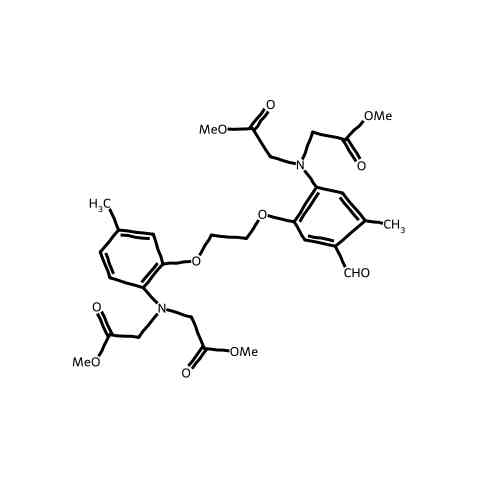 COC(=O)CN(CC(=O)OC)c1ccc(C)cc1OCCOc1cc(C=O)c(C)cc1N(CC(=O)OC)CC(=O)OC